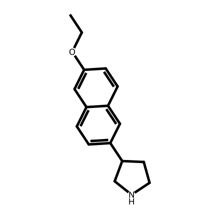 CCOc1ccc2cc(C3CCNC3)ccc2c1